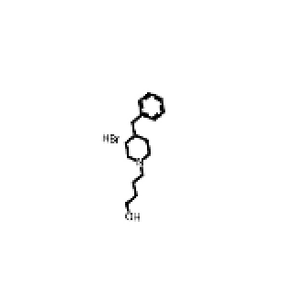 Br.OCCCCN1CCC(Cc2ccccc2)CC1